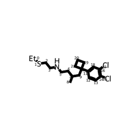 CCSCCNCCC(C)CC1(c2ccc(Cl)c(Cl)c2)CCC1